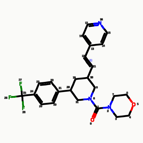 O=C(N1CCOCC1)N1CC(/C=C/c2ccncc2)CC(c2ccc(C(F)(F)F)cc2)C1